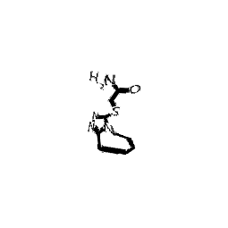 NC(=O)CSc1nnc2ccccn12